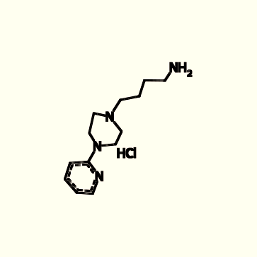 Cl.NCCCCN1CCN(c2ccccn2)CC1